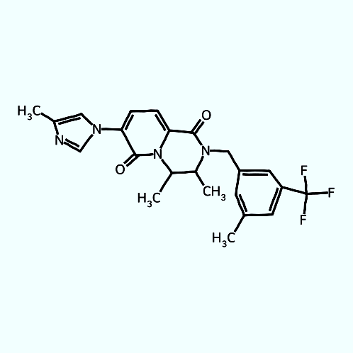 Cc1cc(CN2C(=O)c3ccc(-n4cnc(C)c4)c(=O)n3C(C)C2C)cc(C(F)(F)F)c1